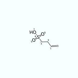 C=CC[CH]S(=O)(=O)O